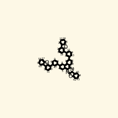 c1cc(-c2ccc3c(c2)c2cc(-c4cccc(-c5cccc6c5oc5ccccc56)c4)ccc2c2nc4c(nc32)oc2ccccc24)cc(-c2cccc3c2oc2ccccc23)c1